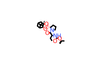 C=C(C)OC(=O)NC(CC)C(=O)N1CCCC1B1OC2C3CC(C[C@]2(C)O1)C3(C)C